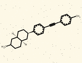 Cc1ccc(C#Cc2ccc([C@@H]3CC[C@@H]4CC(C)CC[C@@H]4C3)cc2)cc1